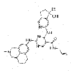 C=CCNC(=O)c1cnc(Nc2cc3c4c(c2)CN(C)CC4(C)CCC3)nc1Nc1cc2c(cn1)CCC2(O)CC